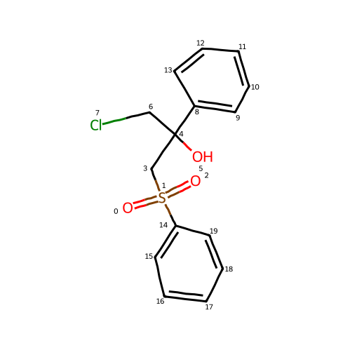 O=S(=O)(CC(O)(CCl)c1ccccc1)c1ccccc1